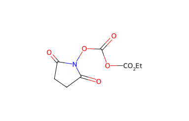 [CH2]COC(=O)OC(=O)ON1C(=O)CCC1=O